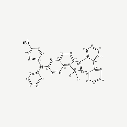 CC(C)(C)c1ccc(N(c2ccccc2)c2ccc3c4c(ccc3c2)-c2c(c3ccccc3c3ccccc23)C4(C)C)cc1